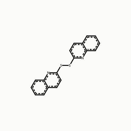 c1ccc2nc(SSc3ccc4ccccc4n3)ccc2c1